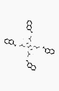 O=C(OCC(O)CN1C(=O)N(CC(O)COC(=O)c2ccc3cc(O)ccc3c2)C2C1N(CC(O)COC(=O)c1ccc3cc(O)ccc3c1)C(=O)N2CC(O)COC(=O)c1ccc2cc(O)ccc2c1)c1ccc2cc(O)ccc2c1